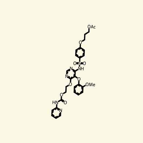 COc1ccccc1Oc1c(NS(=O)(=O)c2ccc(OCCCOC(C)=O)cc2)ncnc1OCCOC(=O)Nc1ccccn1